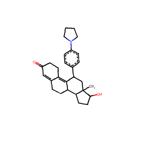 CC12CC(c3ccc(N4CCCC4)cc3)C3=C4CCC(=O)C=C4CCC3C1CCC2O